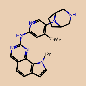 COc1cc(Nc2ncc3ccc4ccn(C(C)C)c4c3n2)ncc1N1C2CCC1CNC2